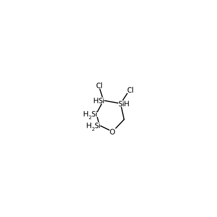 Cl[SiH]1CO[SiH2][SiH2][SiH]1Cl